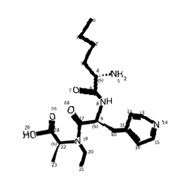 CCCC[C@H](N)C(=O)N[C@@H](Cc1ccncc1)C(=O)N(CC)[C@@H](C)C(=O)O